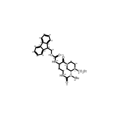 CCOC(=O)N1CCN(C(=O)C(CCNC(=O)OC(C)(C)C)NC(=O)OCC2c3ccccc3-c3ccccc32)CC1